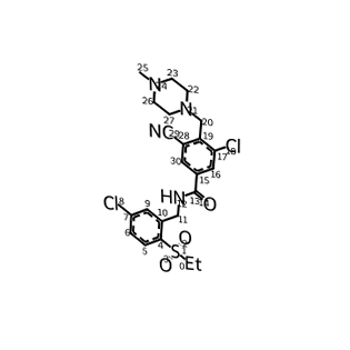 CCS(=O)(=O)c1ccc(Cl)cc1CNC(=O)c1cc(Cl)c(CN2CCN(C)CC2)c(C#N)c1